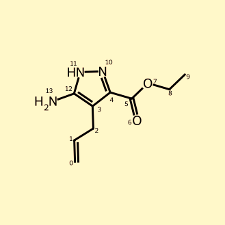 C=CCc1c(C(=O)OCC)n[nH]c1N